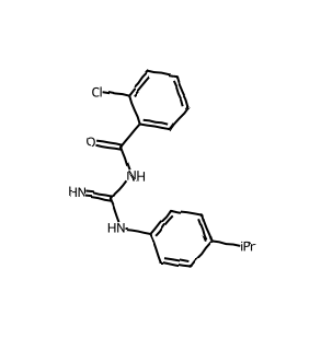 CC(C)c1ccc(NC(=N)NC(=O)c2ccccc2Cl)cc1